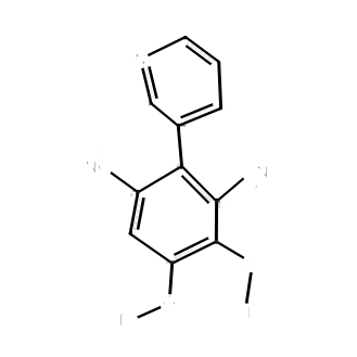 CC(C)Oc1cc(C#N)c(-c2cccnc2)c(C#N)c1OC(C)C